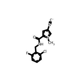 [C-]#[N+]c1cc(C(=O)NCc2c(F)cccc2Cl)n(C)c1